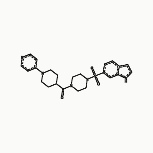 O=C(C1CCN(c2ccncc2)CC1)N1CCN(S(=O)(=O)c2ccc3cc[nH]c3c2)CC1